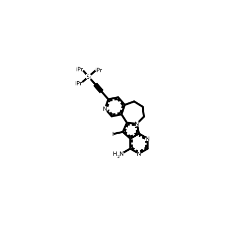 CC(C)[Si](C#Cc1cc2c(cn1)-c1c(I)c3c(N)ncnc3n1CCC2)(C(C)C)C(C)C